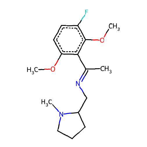 COc1ccc(F)c(OC)c1/C(C)=N/CC1CCCN1C